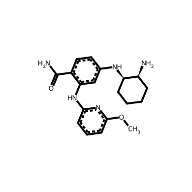 COc1cccc(Nc2cc(N[C@@H]3CCCC[C@@H]3N)ccc2C(N)=O)n1